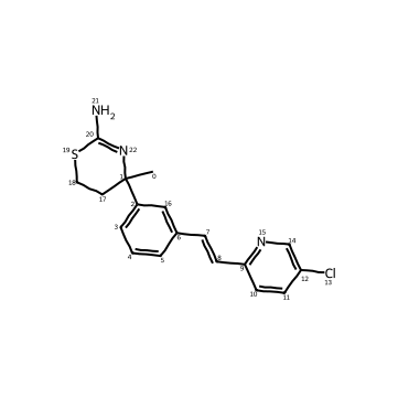 CC1(c2cccc(C=Cc3ccc(Cl)cn3)c2)CCSC(N)=N1